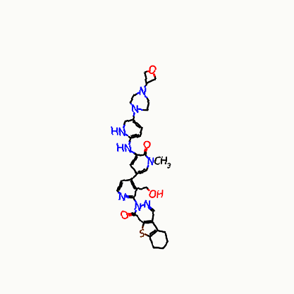 Cn1cc(-c2ccnc(-n3ncc4c5c(sc4c3=O)CCCC5)c2CO)cc(NC2=CC=C(N3CCN(C4COC4)CC3)CN2)c1=O